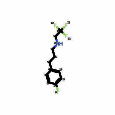 Fc1ccc(CCCNCC(F)(F)F)cc1